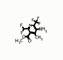 COC(=O)c1c(C(F)F)nc(C(F)(F)F)c(N)c1C